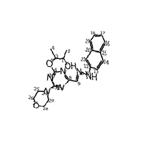 CC(O)C(C)Oc1nc(C=NNc2ccc3ccccc3c2)nc(N2CCOCC2)n1